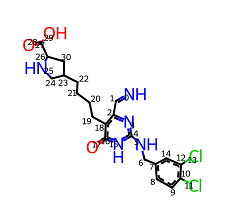 N=Cc1nc(NCc2ccc(Cl)c(Cl)c2)[nH]c(=O)c1CCCCC1CNC(C(=O)O)C1